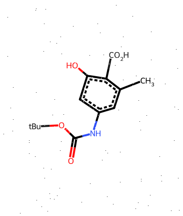 Cc1cc(NC(=O)OC(C)(C)C)cc(O)c1C(=O)O